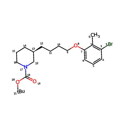 Cc1c(Br)cccc1OCCCC[C@@H]1CCCN(C(=O)OC(C)(C)C)C1